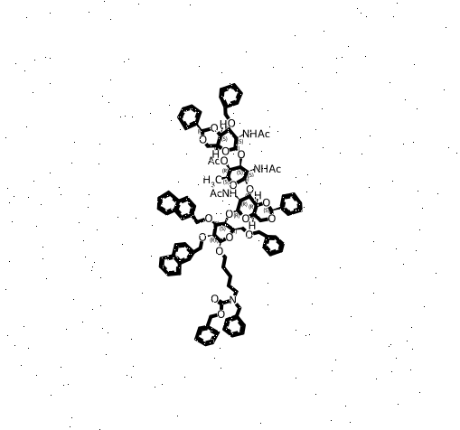 CC(=O)N[C@@H]1[C@H](O[C@H]2[C@H](NC(C)=O)[C@H](O[C@@H]3[C@@H](NC(C)=O)[C@@H](O[C@@H]4[C@H](OCc5ccc6ccccc6c5)[C@@H](OCc5ccc6ccccc6c5)[C@@H](OCCCCCN(Cc5ccccc5)C(=O)OCc5ccccc5)O[C@@H]4COCc4ccccc4)O[C@@H]4CO[C@H](c5ccccc5)O[C@H]34)O[C@@H](C)[C@H]2OC(C)=O)O[C@@H]2CO[C@@H](c3ccccc3)O[C@H]2[C@@H]1OCc1ccccc1